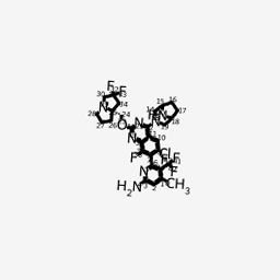 Cc1cc(N)nc(-c2c(Cl)cc3c(N4CC5CCC(C4)N5)nc(OC[C@]45CCCN4CC(F)(F)C5)nc3c2F)c1C(F)(F)F